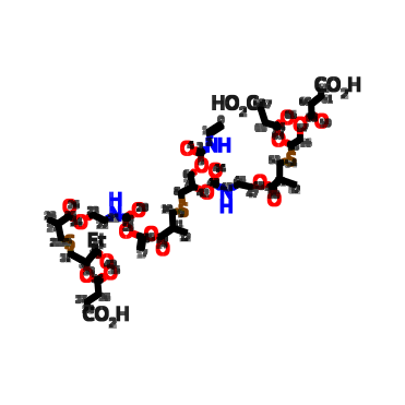 C=CNC(=O)OCC(CSCC(C)C(=O)OC(=C)OC(=O)NCCOC(=O)C(C)CSCC(OC(=O)CCC(=O)O)C(=O)CC)OC(=O)NCCOC(=O)C(C)CSC(COC(=O)CCC(=O)O)OC(=O)CCC(=O)O